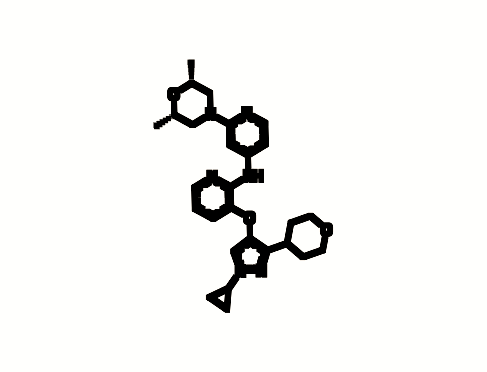 C[C@@H]1CN(c2cc(Nc3ncccc3Oc3cn(C4CC4)nc3C3CCOCC3)ccn2)C[C@H](C)O1